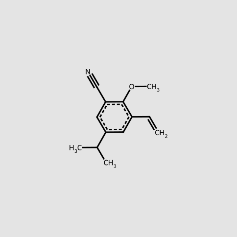 C=Cc1cc(C(C)C)cc(C#N)c1OC